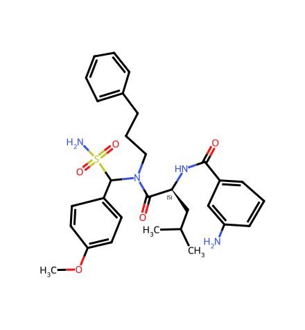 COc1ccc(C(N(CCCc2ccccc2)C(=O)[C@H](CC(C)C)NC(=O)c2cccc(N)c2)S(N)(=O)=O)cc1